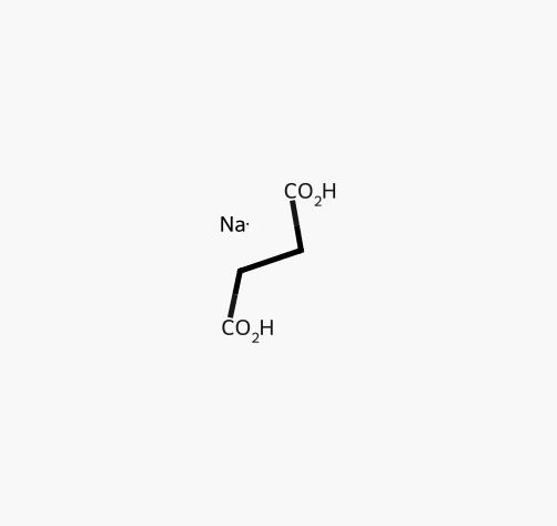 O=C(O)CCC(=O)O.[Na]